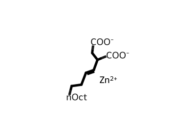 CCCCCCCCCCC=CC(CC(=O)[O-])C(=O)[O-].[Zn+2]